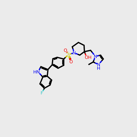 CC1NC=CN1CC1(O)CCCN(S(=O)(=O)c2ccc(-c3c[nH]c4cc(F)ccc34)cc2)C1